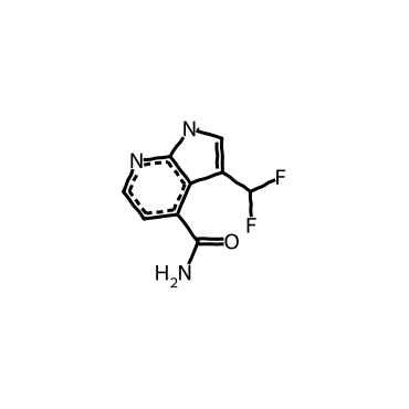 NC(=O)c1ccnc2c1C(C(F)F)=C[N]2